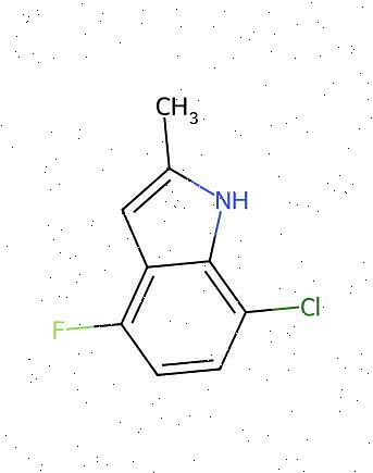 Cc1cc2c(F)ccc(Cl)c2[nH]1